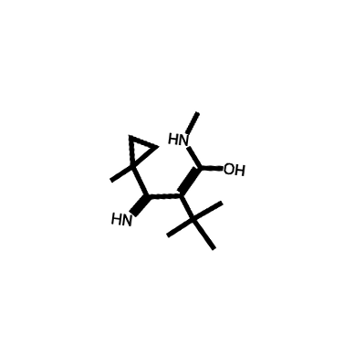 CN/C(O)=C(\C(=N)C1(C)CC1)C(C)(C)C